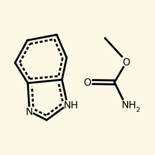 COC(N)=O.c1ccc2[nH]cnc2c1